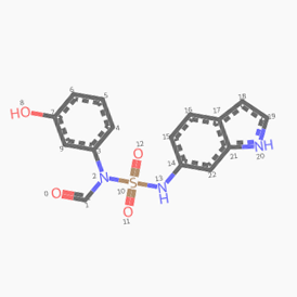 O=[C]N(c1cccc(O)c1)S(=O)(=O)Nc1ccc2cc[nH]c2c1